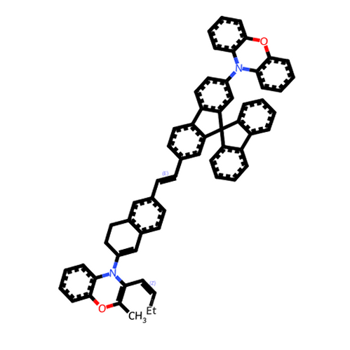 CC/C=C\C1=C(C)Oc2ccccc2N1C1=Cc2ccc(/C=C/c3ccc4c(c3)C3(c5ccccc5-c5ccccc53)c3cc(N5c6ccccc6Oc6ccccc65)ccc3-4)cc2CC1